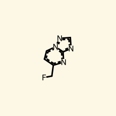 FCc1ccn2ncnc2n1